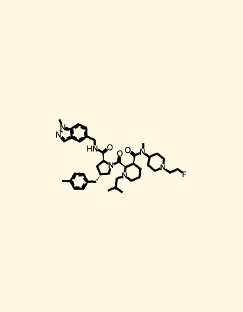 C[C](C)CN1CCC[C@H](C(=O)N(C)C2CCN(CCF)CC2)[C@@H]1C(=O)N1C[C@H](Cc2ccc(C)cc2)C[C@H]1C(=O)NCc1ccc2c(cnn2C)c1